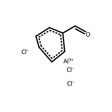 O=Cc1ccccc1.[Al+3].[Cl-].[Cl-].[Cl-]